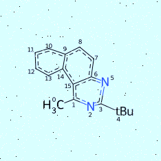 Cc1nc(C(C)(C)C)nc2ccc3ccccc3c12